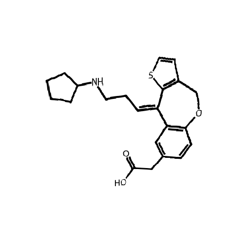 O=C(O)Cc1ccc2c(c1)C(=CCCNC1CCCC1)c1sccc1CO2